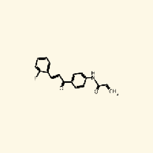 C=CC(=O)Nc1ccc(C(=O)/C=C/c2ccccc2F)cc1